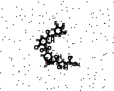 C[C@H]1CC2CC(S(=O)(=O)c3cc(C(=O)Nc4cc(F)c(F)c(F)c4)ccc3Cl)CC1[C@@]2(O)CC(O)C(O)CNC(=O)C(C)(C)C